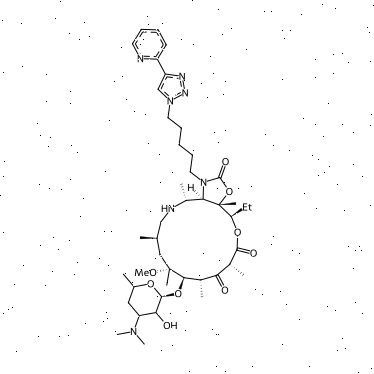 CC[C@H]1OC(=O)[C@H](C)C(=O)[C@H](C)[C@@H](O[C@@H]2OC(C)CC(N(C)C)C2O)[C@](C)(OC)C[C@@H](C)CN[C@H](C)[C@H]2N(CCCCCn3cc(-c4ccccn4)nn3)C(=O)O[C@]12C